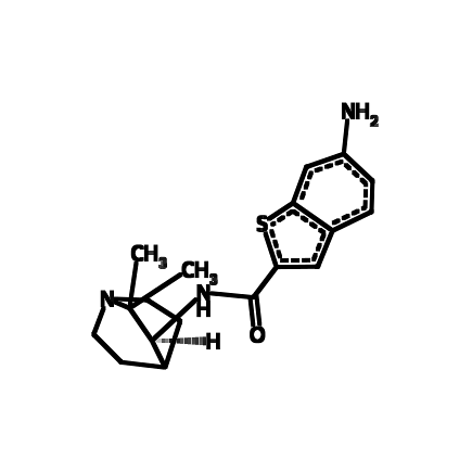 CC1(C)[C@@H](NC(=O)c2cc3ccc(N)cc3s2)C2CCN1CC2